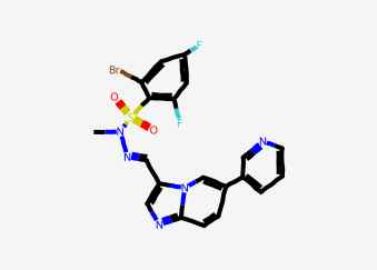 CN(N=Cc1cnc2ccc(-c3cccnc3)cn12)S(=O)(=O)c1c(F)cc(F)cc1Br